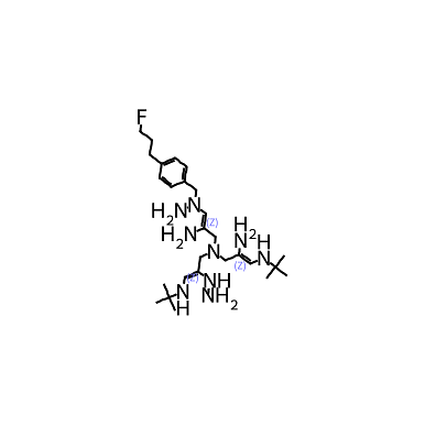 CC(C)(C)N/C=C(\N)CN(C/C(N)=C/N(N)Cc1ccc(CCCF)cc1)C/C(=C/NC(C)(C)C)NN